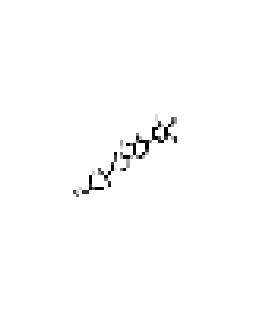 CCCC1COC(C2CCC(c3ccc(-c4cc(F)c(F)c(F)c4)c(F)c3F)OC2)OC1